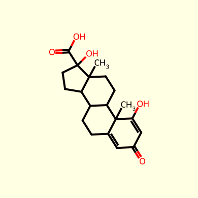 CC12C(O)=CC(=O)C=C1CCC1C2CCC2(C)C1CCC2(O)C(=O)O